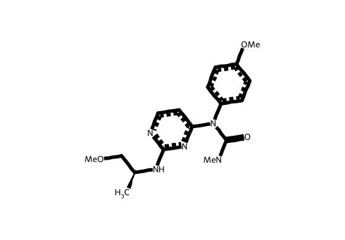 CNC(=O)N(c1ccc(OC)cc1)c1ccnc(N[C@@H](C)COC)n1